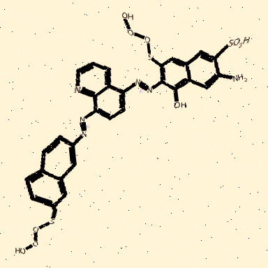 Nc1cc2c(O)c(/N=N/c3ccc(/N=N/c4ccc5ccc(SOOO)cc5c4)c4ncccc34)c(SOOO)cc2cc1S(=O)(=O)O